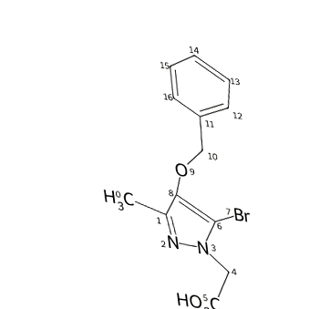 Cc1nn(CC(=O)O)c(Br)c1OCc1ccccc1